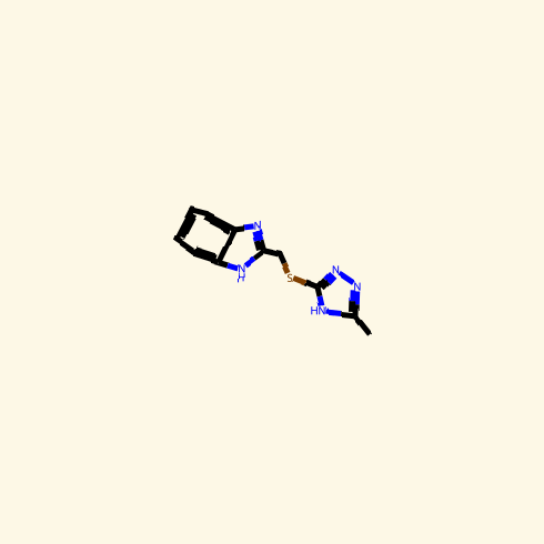 Cc1nnc(SCc2nc3ccccc3[nH]2)[nH]1